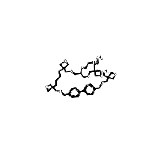 CCCOC(COCC1(CCC)COC1)COCC1(CCCCC2(COCc3ccc(-c4ccc(COCC5(CC)COC5)cc4)cc3)COC2)COC1